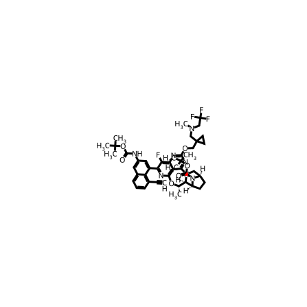 C#Cc1cccc2cc(NC(=O)OC(C)(C)C)cc(-c3nc4c5c(nc(OCC6(CN(C)CC(F)(F)F)CC6)nc5c3F)N3C[C@H]5CC[C@@H]([C@H]3[C@H](C)O4)N5C(=O)OC(C)(C)C)c12